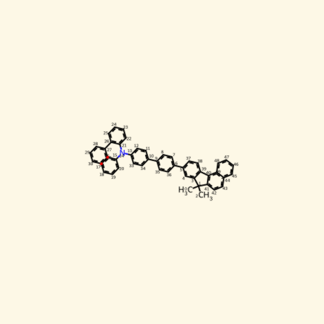 CC1(C)c2cc(-c3ccc(-c4ccc(N(c5ccccc5)c5ccccc5-c5ccccc5)cc4)cc3)ccc2-c2c1ccc1ccccc21